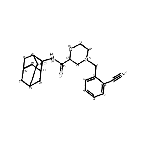 N#Cc1ccccc1CN1CCOC(C(=O)NC2C3CC4CC(C3)CC2C4)C1